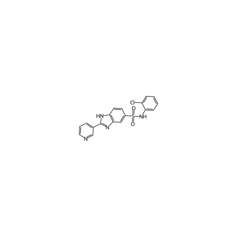 O=S(=O)(Nc1ccccc1Cl)c1ccc2[nH]c(-c3cccnc3)nc2c1